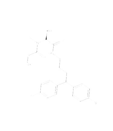 CC[C@H](C)C(C(=O)NCCCC(c1ccc(F)cc1)c1ccc(F)cc1)N(C)C(=O)OC(C)(C)C